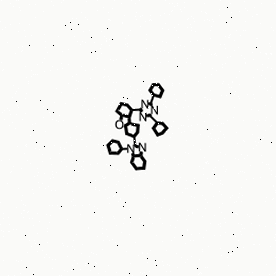 c1ccc(-c2nc(-c3ccccc3)nc(-c3cccc4oc5cc(-c6nc7ccccc7n6-c6ccccc6)ccc5c34)n2)cc1